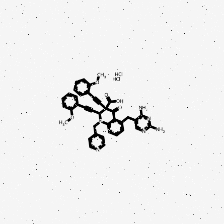 COc1ccccc1C#CC1N(Cc2ccncc2)c2cccc(Cc3cnc(N)nc3N)c2C(=O)C1(C#Cc1ccccc1OC)C(=O)O.Cl.Cl